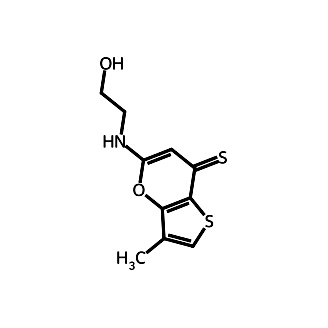 Cc1csc2c(=S)cc(NCCO)oc12